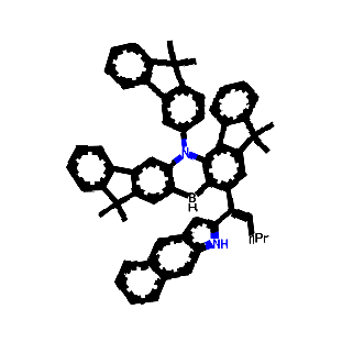 CCC/C=C(\c1cc2cc3ccccc3cc2[nH]1)c1cc2c(c3c1Bc1cc4c(cc1N3c1ccc3c(c1)-c1ccccc1C3(C)C)-c1ccccc1C4(C)C)-c1ccccc1C2(C)C